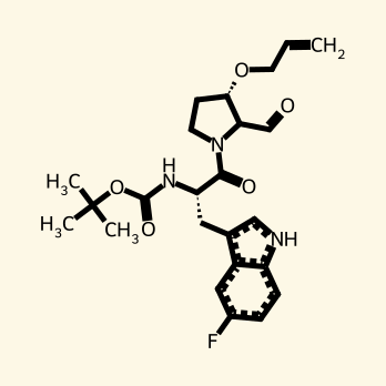 C=CCO[C@H]1CCN(C(=O)[C@H](Cc2c[nH]c3ccc(F)cc23)NC(=O)OC(C)(C)C)C1C=O